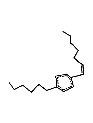 CCCCC/C=[C]\c1ccc(CCCCCC)cc1